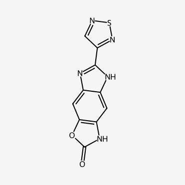 O=c1[nH]c2cc3[nH]c(-c4cnsn4)nc3cc2o1